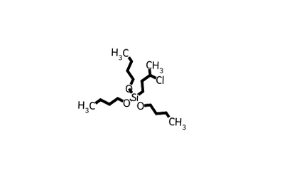 CCCCO[Si](CCC(C)Cl)(OCCCC)OCCCC